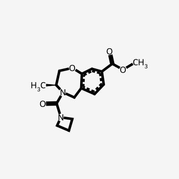 COC(=O)c1ccc2c(c1)OC[C@H](C)N(C(=O)N1CCC1)C2